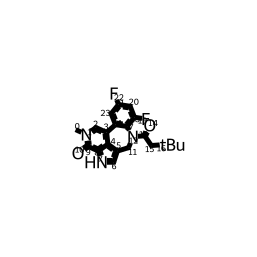 Cn1cc2c3c(c[nH]c3c1=O)CN(C(=O)CC(C)(C)C)c1c(F)cc(F)cc1-2